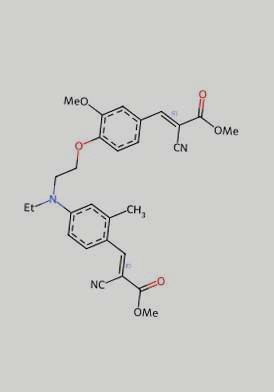 CCN(CCOc1ccc(/C=C(\C#N)C(=O)OC)cc1OC)c1ccc(/C=C(\C#N)C(=O)OC)c(C)c1